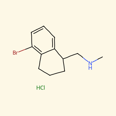 CNCC1CCCc2c(Br)cccc21.Cl